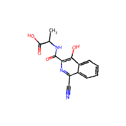 CC(NC(=O)c1nc(C#N)c2ccccc2c1O)C(=O)O